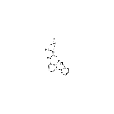 C=C(Nc1cccc(-c2ccccc2Cl)c1F)[C@@H]1C[C@@H](F)CN1